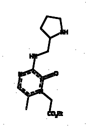 CCOC(=O)Cn1c(C)cnc(NCC2CCCN2)c1=O